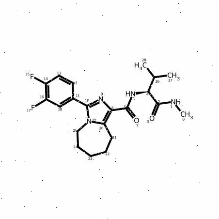 CNC(=O)[C@@H](NC(=O)c1nc(-c2ccc(F)c(F)c2)n2c1CCCCC2)C(C)C